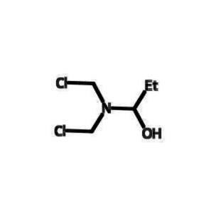 CCC(O)N(CCl)CCl